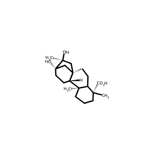 C[C@@]1(C(=O)O)CCC[C@]2(C)C1CC[C@@]13C[C@@](O)(CC[C@H]12)[C@@](C)(O)C3